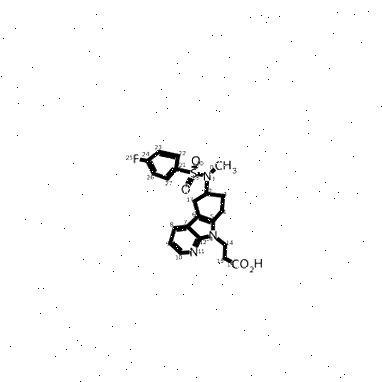 CN(C1CCc2c(c3cccnc3n2CCC(=O)O)C1)S(=O)(=O)c1ccc(F)cc1